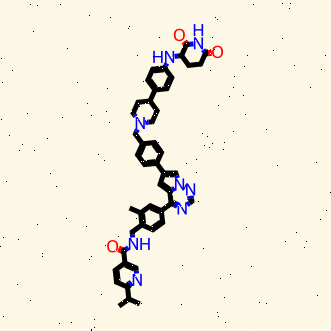 Cc1cc(-c2ncnn3cc(-c4ccc(CN5CCC(c6ccc(NC7CCC(=O)NC7=O)cc6)CC5)cc4)cc23)ccc1CNC(=O)c1ccc(C(C)C)nc1